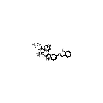 CNC(=O)C(C)(CO)N(C=O)c1c(C)nn2ccc(OCc3ccccc3F)cc12